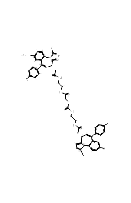 CCc1ccc2c(c1)C(c1ccc(C)cc1)=C[C@@H](CC(=O)NCCNC(=O)NCC(=O)NCCNC(=O)C[C@@H]1N=C(c3ccc(Cl)cc3)c3cc(OC)ccc3-n3c(C)nnc31)C1=CC=C(C)C12